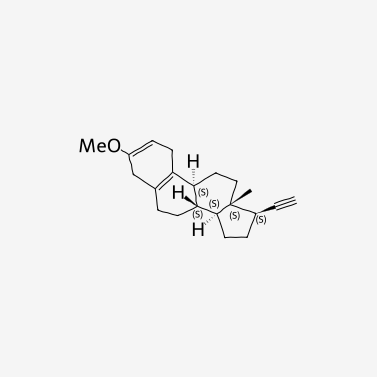 C#C[C@H]1CC[C@H]2[C@@H]3CCC4=C(CC=C(OC)C4)[C@H]3CC[C@]12C